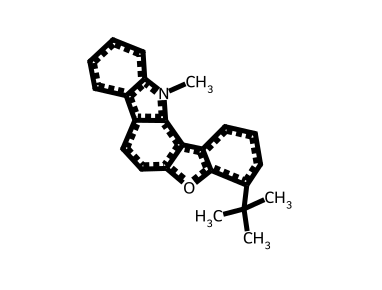 Cn1c2ccccc2c2ccc3oc4c(C(C)(C)C)cccc4c3c21